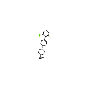 CCC[C@H]1CC[C@H](C2CC=C(c3c(F)cccc3F)CC2)CC1